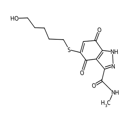 CNC(=O)c1n[nH]c2c1C(=O)C(SCCCCCO)=CC2=O